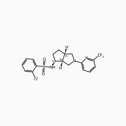 O=S(=O)(N[C@H]1CC[C@@H]2CN(c3cccc(C(F)(F)F)n3)C[C@@H]21)c1ccccc1Cl